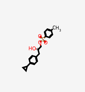 Cc1ccc(S(=O)(=O)OC[C@@H](O)Cc2ccc(C3CC3)cc2)cc1